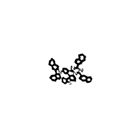 c1ccc2cc(-c3nc(-c4ccc5ccccc5c4)nc(-c4ccc(-n5c6cc7ccccc7cc6c6c7ccccc7ccc65)cc4-c4cccc5sc6ccccc6c45)n3)ccc2c1